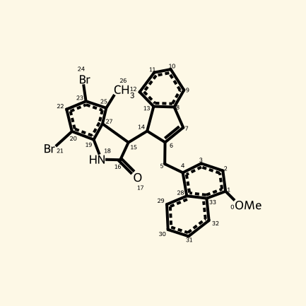 COc1ccc(CC2=Cc3ccccc3C2C2C(=O)Nc3c(Br)cc(Br)c(C)c32)c2ccccc12